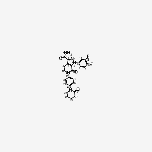 NC(=O)c1nn(-c2ccc(F)c(F)c2)c2c1CCN(c1ccc(N3CCCCC3=O)cc1)C2=O